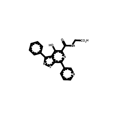 O=C(O)CNC(=O)c1nc(-c2cccnc2)c2snc(-c3ccccc3)c2c1O